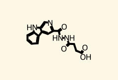 O=C(O)CCC(=O)NNC(=O)c1cc2c(cn1)[nH]c1ccccc12